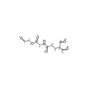 O=CCOC(=O)CNC(=O)CCC(P=O)P=O